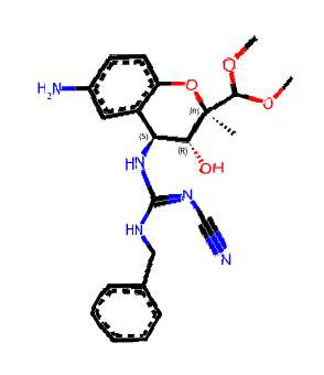 COC(OC)[C@]1(C)Oc2ccc(N)cc2[C@H](NC(=NC#N)NCc2ccccc2)[C@H]1O